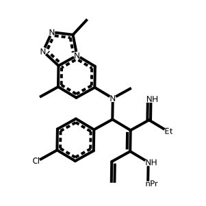 C=C/C(NCCC)=C(/C(=N)CC)C(c1ccc(Cl)cc1)N(C)c1cc(C)c2nnc(C)n2c1